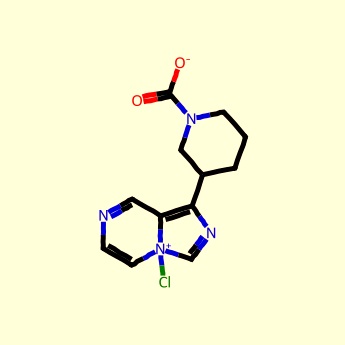 O=C([O-])N1CCCC(C2=C3C=NC=C[N+]3(Cl)C=N2)C1